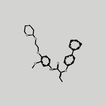 C/C=C(\Oc1ccc(-c2ccccc2)cc1)C(=O)Nc1ccc(OCCOC2CCCCO2)c(OC)c1